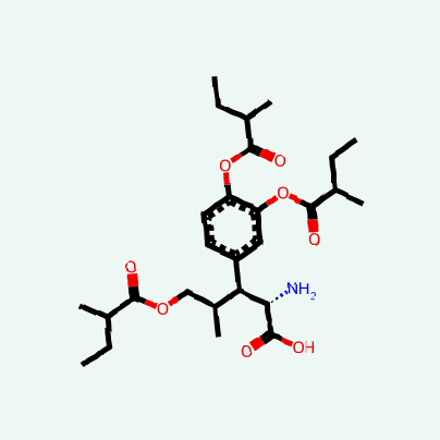 CCC(C)C(=O)OCC(C)C(c1ccc(OC(=O)C(C)CC)c(OC(=O)C(C)CC)c1)[C@H](N)C(=O)O